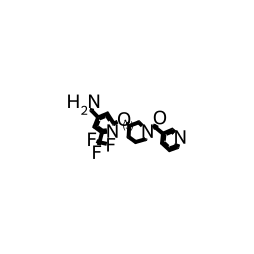 NCc1cc(O[C@H]2CCCN(C(=O)c3cccnc3)C2)nc(C(F)(F)F)c1